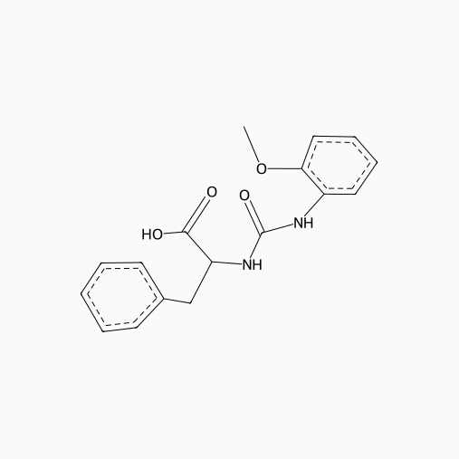 COc1ccccc1NC(=O)NC(Cc1ccccc1)C(=O)O